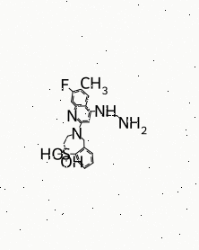 Cc1cc2c(NCCN)cc(N3CCS(O)(O)c4ccccc4C3)nc2cc1F